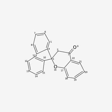 O=C1CC(c2ccccc2)(c2ccccc2)Oc2ccccc21